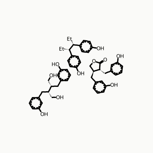 CC[C@H](c1ccc(O)cc1)[C@@H](CC)c1ccc(O)cc1.O=C1OC[C@H](Cc2cccc(O)c2)[C@H]1Cc1cccc(O)c1.OC[C@H](Cc1cccc(O)c1)[C@H](CO)Cc1cccc(O)c1